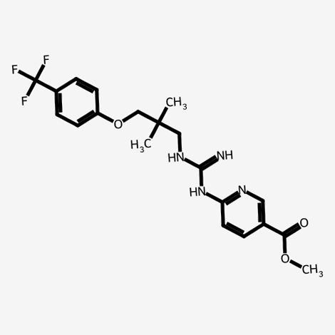 COC(=O)c1ccc(NC(=N)NCC(C)(C)COc2ccc(C(F)(F)F)cc2)nc1